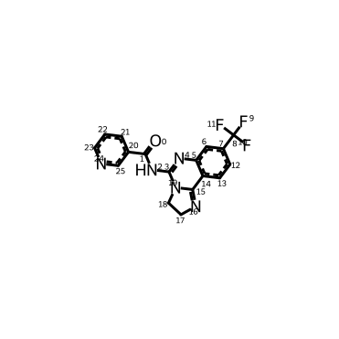 O=C(NC1=Nc2cc(C(F)(F)F)ccc2C2=NCCN12)c1cccnc1